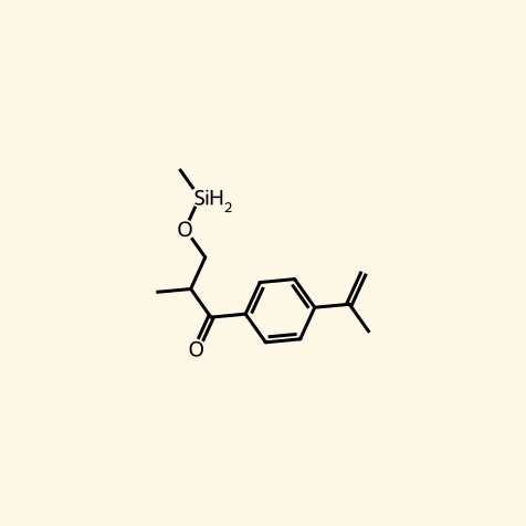 C=C(C)c1ccc(C(=O)C(C)CO[SiH2]C)cc1